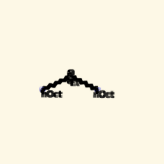 CCCCCCCC/C=C\CCCCCCCCP(=O)(CCCCCCCC/C=C\CCCCCCCC)OCC